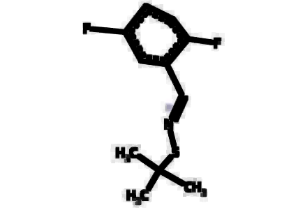 CC(C)(C)S/N=C/c1cc(F)ccc1F